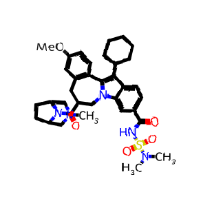 COc1ccc2c(c1)CC(C(=O)N1C3CCC1CN(C)C3)Cn1c-2c(C2CCCCC2)c2ccc(C(=O)NS(=O)(=O)N(C)C)cc21